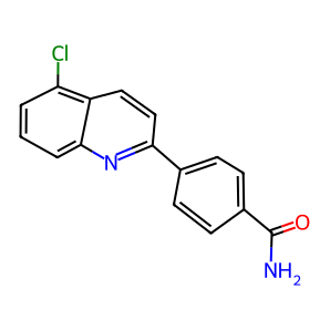 NC(=O)c1ccc(-c2ccc3c(Cl)cccc3n2)cc1